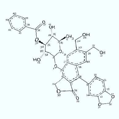 C[C@H]1OC(Oc2c3c(c(-c4ccc5c(c4)OCO5)c4cc(CO)c(CO)cc24)C(=O)OC3)[C@H](O)[C@@H](OC(=O)c2ccccc2)[C@@H]1O